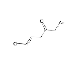 CC(=O)CC(=O)CC=CCl